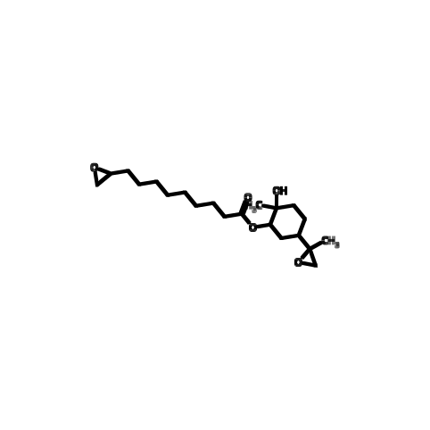 CC1(O)CCC(C2(C)CO2)CC1OC(=O)CCCCCCCCC1CO1